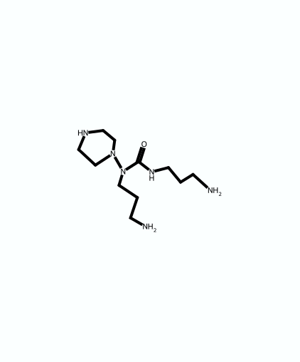 NCCCNC(=O)N(CCCN)N1CCNCC1